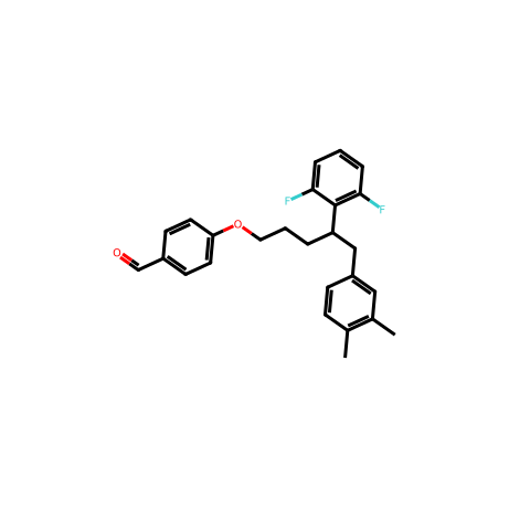 Cc1ccc(CC(CCCOc2ccc(C=O)cc2)c2c(F)cccc2F)cc1C